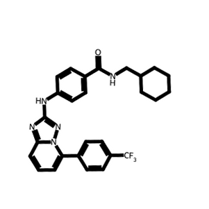 O=C(NCC1CCCCC1)c1ccc(Nc2nc3cccc(-c4ccc(C(F)(F)F)cc4)n3n2)cc1